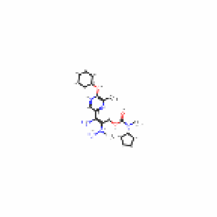 Cc1nc(/C(N)=C(\COC(=O)N(C)C2CCCC2)N(C)N)cnc1OC1CCCCC1